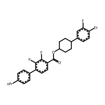 CCCc1ccc(-c2ccc(C(=O)OC3CCC(c4ccc(CC)c(F)c4)CC3)c(F)c2F)cc1